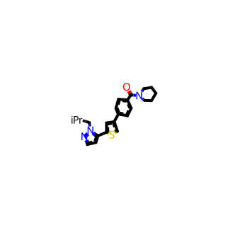 CC(C)Cn1nccc1-c1cc(-c2ccc(C(=O)N3CCCCC3)cc2)cs1